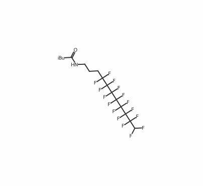 CCC(C)C(=O)NCCCC(F)(F)C(F)(F)C(F)(F)C(F)(F)C(F)(F)C(F)(F)C(F)(F)C(F)F